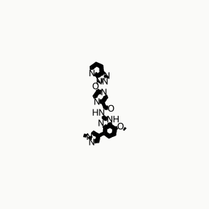 COc1ccc(-c2cnn(C)c2)c2nc(NC(=O)c3cnc(On4nnc5cccnc54)cn3)[nH]c12